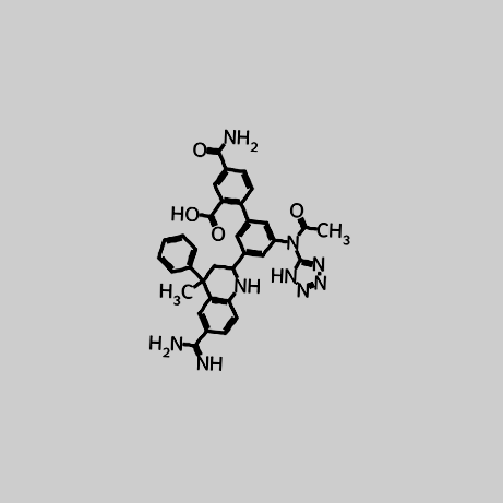 CC(=O)N(c1cc(-c2ccc(C(N)=O)cc2C(=O)O)cc(C2CC(C)(c3ccccc3)c3cc(C(=N)N)ccc3N2)c1)c1nnn[nH]1